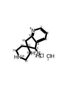 Cl.Cl.NC1c2cccnc2CC12CCNCC2